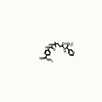 CC(C)(CCC(=O)NC(CC(=O)O)c1cccnc1)NC(=O)Nc1ccc(C(=N)N)cc1